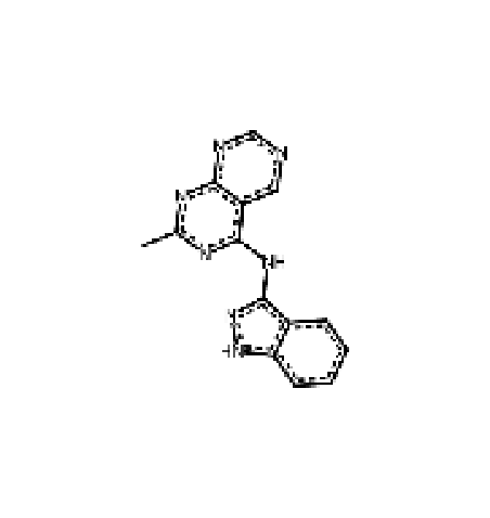 Cc1nc(Nc2n[nH]c3ccccc23)c2cncnc2n1